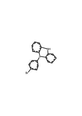 Brc1ccc(N2c3ccccc3Nc3ccccc32)cc1